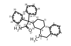 CN(Cc1ccccc1)C1CCCC(C(C(N)=O)(c2ccccc2)c2ccccc2)C1